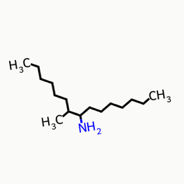 CCCCCCCC(N)C(C)CCCCCC